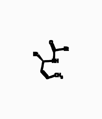 C/C=C\[C@H](CC)NC(=O)CC